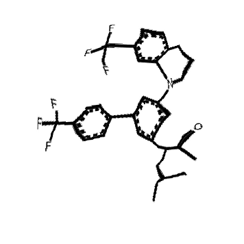 CC(=O)C(CC(C)C)c1cc(-c2ccc(C(F)(F)F)cc2)cc(N2CCCc3ccc(C(F)(F)F)cc32)c1